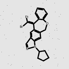 CCC(Br)=C1c2cc3cnn(C4CCCC4)c3cc2COc2ccccc21